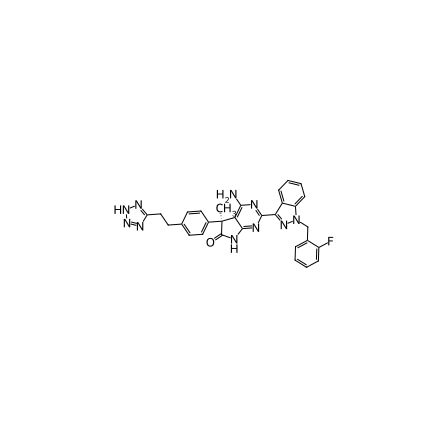 C[C@@]1(c2ccc(CCc3nn[nH]n3)cc2)C(=O)Nc2nc(-c3nn(Cc4ccccc4F)c4ccccc34)nc(N)c21